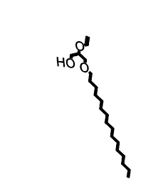 C=COC(CO)COCCCCCCCCCCCCCCCC